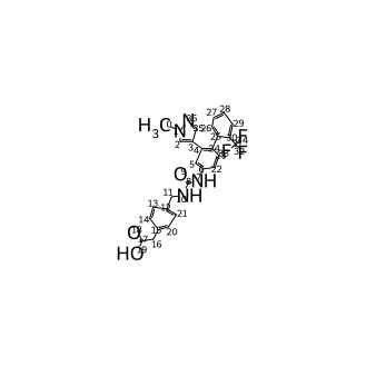 Cn1cc(-c2cc(NC(=O)NCc3ccc(CC(=O)O)cc3)ccc2-c2ccccc2C(F)(F)F)cn1